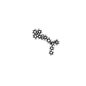 C1=C(c2ccc(-c3ccccc3)cc2)N=C(c2ccc(-c3ccc4c(c3)Oc3ccc5c(c3O4)-c3ccccc3C5(c3ccccc3)c3ccccc3)cc2)NC1c1ccccc1